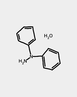 NN(c1ccccc1)c1ccccc1.O